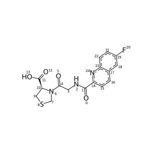 O=C(NCC(=O)N1CSC[C@H]1C(=O)O)c1ccc2cc(F)ccc2n1